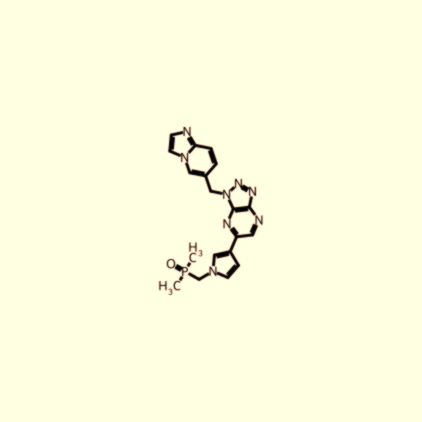 CP(C)(=O)Cn1ccc(-c2cnc3nnn(Cc4ccc5nccn5c4)c3n2)c1